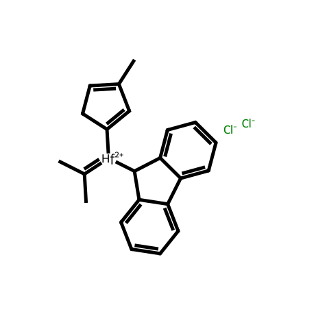 CC1=CC[C]([Hf+2](=[C](C)C)[CH]2c3ccccc3-c3ccccc32)=C1.[Cl-].[Cl-]